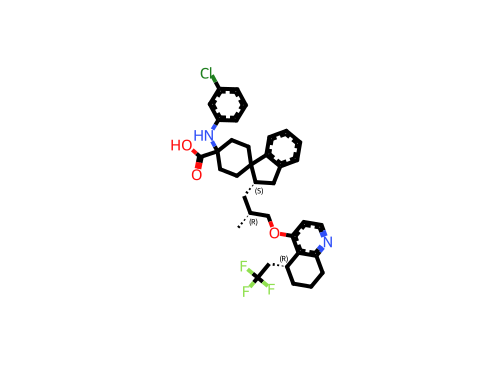 C[C@@H](COc1ccnc2c1[C@@H](CC(F)(F)F)CCC2)C[C@H]1Cc2ccccc2C12CCC(Nc1cccc(Cl)c1)(C(=O)O)CC2